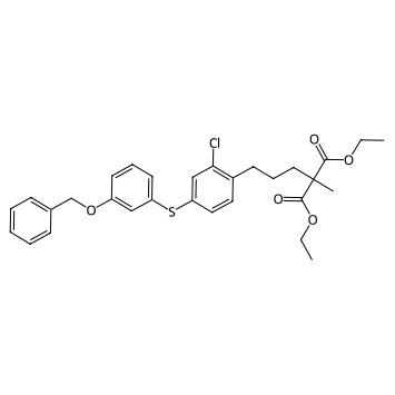 CCOC(=O)C(C)(CCCc1ccc(Sc2cccc(OCc3ccccc3)c2)cc1Cl)C(=O)OCC